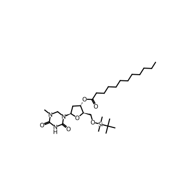 CCCCCCCCCCCC(=O)O[C@H]1C[C@H](N2CN(C)C(=O)NC2=O)O[C@@H]1CO[Si](C)(C)C(C)(C)C